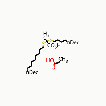 CCC(=O)O.CCCCCCCCCCCCCCCCCCSC(C)(SCCCCCCCCCCCCCC)C(=O)O